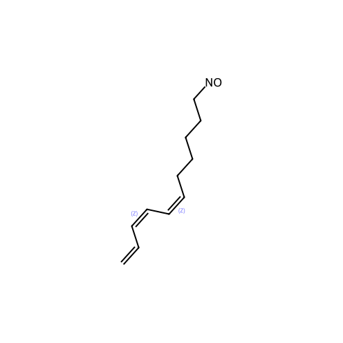 C=C/C=C\C=C/CCCCCN=O